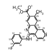 COC(=O)c1cc2nc(Nc3cccc(F)c3)c3ccncc3c2cc1C